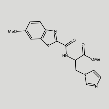 COC(=O)C(Cn1ccnc1)NC(=O)c1nc2ccc(OC)cc2s1